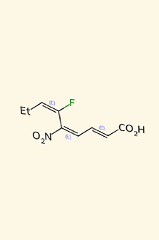 CC\C=C(F)/C(=C\C=C\C(=O)O)[N+](=O)[O-]